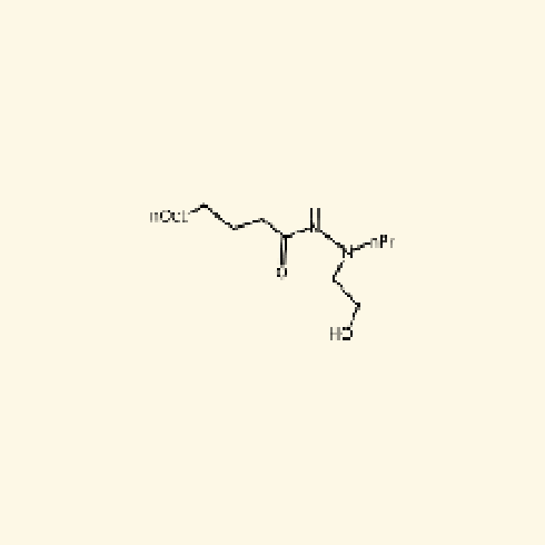 CCCCCCCCCCCC(=O)NN(CCC)CCO